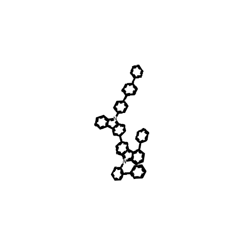 c1ccc(-c2ccc(-c3ccc(-n4c5ccccc5c5cc(-c6ccc7c(c6)c6c(-c8ccccc8)cccc6n7-c6ccccc6-c6ccccc6)ccc54)cc3)cc2)cc1